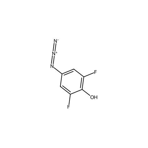 [N-]=[N+]=Nc1cc(F)c(O)c(F)c1